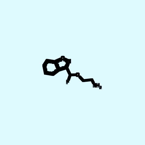 NCCOC(F)c1noc2ccccc12